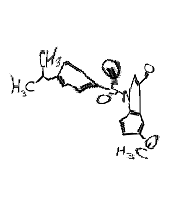 COc1ccc2c(c1)c(C=O)cn2S(=O)(=O)c1ccc(C(C)C)cc1